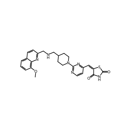 COc1cccc2ccc(CNCC3CCN(c4nccc(/C=C5/SC(=O)NC5=O)n4)CC3)nc12